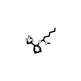 CCCCCC(OC)Oc1ccccc1-c1[c]nns1